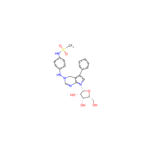 O=S(=O)(Nc1ccc(NN2C=Nc3c(c(-c4ccccc4)cn3[C@@H]3O[C@H](CO)[C@H](O)[C@@H]3O)C2)cc1)C(F)(F)F